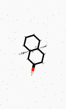 C[C@@]12CCCC[C@@H]1CC(=O)CC2